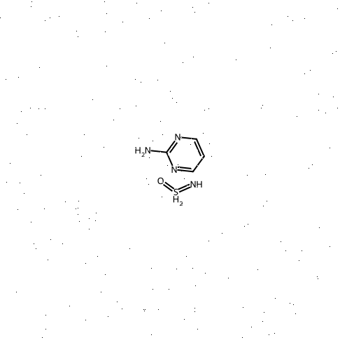 N=[SH2]=O.Nc1ncccn1